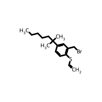 C=CSc1ccc(C(C)(C)CCCCC)cc1CBr